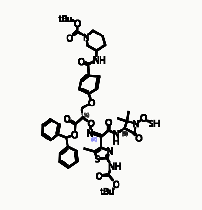 Cc1sc(NC(=O)OC(C)(C)C)nc1/C(=N/O[C@@H](COc1ccc(C(=O)NC2CCCN(C(=O)OC(C)(C)C)C2)cc1)C(=O)OC(c1ccccc1)c1ccccc1)C(=O)N[C@@H]1C(=O)N(OS)C1(C)C